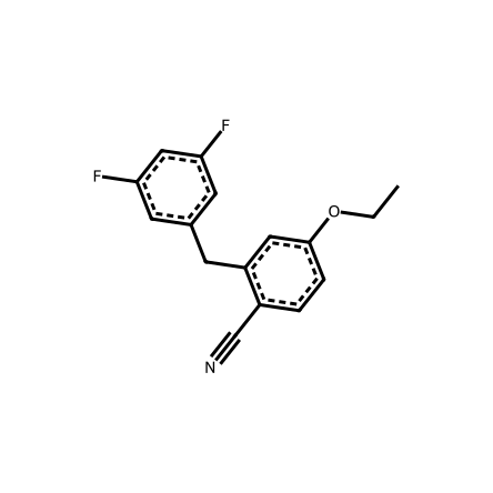 CCOc1ccc(C#N)c(Cc2cc(F)cc(F)c2)c1